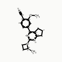 COc1cc(-c2nc(N3CC[C@@H]3C)nc3c2CCC3)ccc1C#N